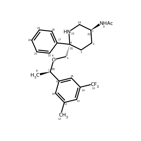 CC(=O)N[C@H]1CC[C@@](CO[C@H](C)c2cc(C)cc(C(F)(F)F)c2)(c2ccccc2)NC1